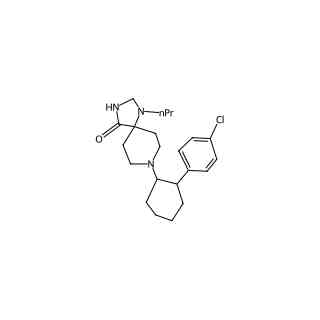 CCCN1CNC(=O)C12CCN(C1CCCCC1c1ccc(Cl)cc1)CC2